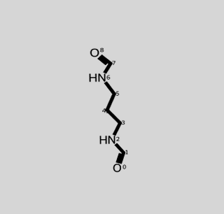 O=CNC[CH]CNC=O